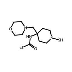 CCC(=O)NC1(CN2CCOCC2)CCN(S)CC1